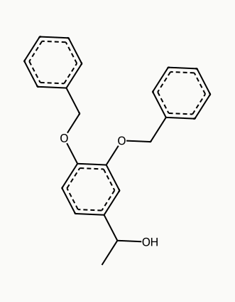 CC(O)c1ccc(OCc2ccccc2)c(OCc2ccccc2)c1